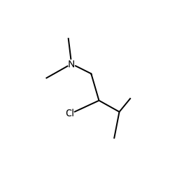 CC(C)C(Cl)CN(C)C